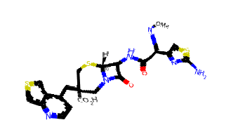 CON=C(C(=O)NC1C(=O)N2CC(Cc3ccnc4cscc34)(C(=O)O)CS[C@H]12)c1csc(N)n1